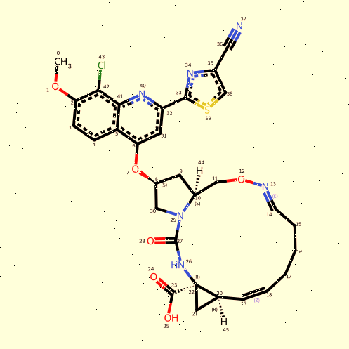 COc1ccc2c(O[C@H]3C[C@H]4CO/N=C/CCC/C=C\[C@H]5C[C@@]5(C(=O)O)NC(=O)N4C3)cc(-c3nc(C#N)cs3)nc2c1Cl